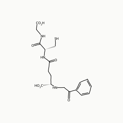 O=C(O)CNC(=O)[C@H](CS)NC(=O)CC[C@H](NCC(=O)c1ccccc1)C(=O)O